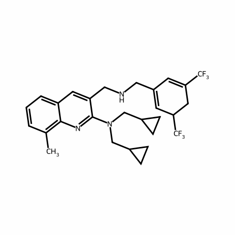 Cc1cccc2cc(CNCC3=CC(C(F)(F)F)CC(C(F)(F)F)=C3)c(N(CC3CC3)CC3CC3)nc12